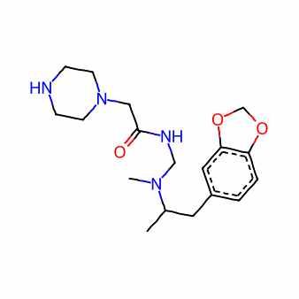 CC(Cc1ccc2c(c1)OCO2)N(C)CNC(=O)CN1CCNCC1